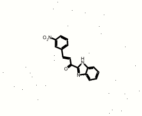 O=C(/C=C/c1cccc([N+](=O)[O-])c1)c1nc2ccccc2[nH]1